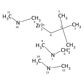 CC(C)(C)[CH2][Zr+3].C[N-]C.C[N-]C.C[N-]C